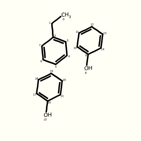 CCc1ccccc1.Oc1ccccc1.Oc1ccccc1